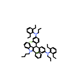 CCCCn1c(-c2ccccc2)c(C(c2ccc(N(CCC)c3c(CC)cccc3CC)cc2F)c2ccc(N(CCC)c3c(CC)cccc3CC)cc2F)c2ccccc21